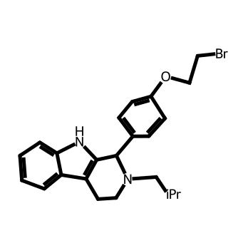 CC(C)CN1CCc2c([nH]c3ccccc23)C1c1ccc(OCCBr)cc1